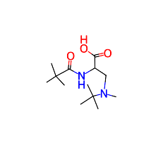 CN(CC(NC(=O)C(C)(C)C)C(=O)O)C(C)(C)C